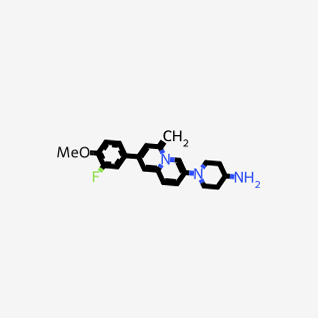 C=C1C=C(c2ccc(OC)c(F)c2)C=C2C=CC(N3CCC(N)CC3)=CN12